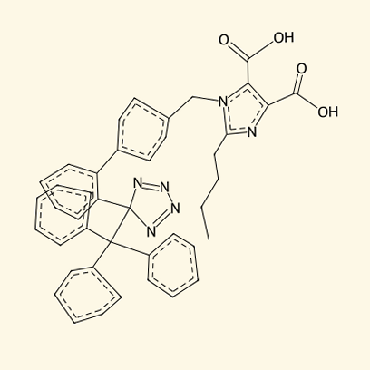 CCCCc1nc(C(=O)O)c(C(=O)O)n1Cc1ccc(-c2ccccc2C2(C(c3ccccc3)(c3ccccc3)c3ccccc3)N=NN=N2)cc1